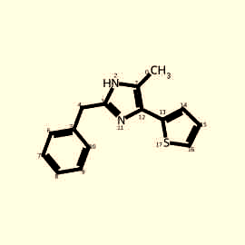 Cc1[nH]c(Cc2ccccc2)nc1-c1cccs1